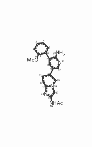 COc1ccccc1-c1cc(-c2ccc3nc(NC(C)=O)cn3c2)cnc1N